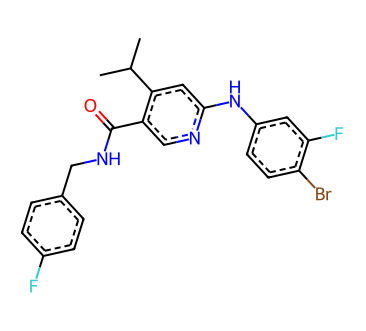 CC(C)c1cc(Nc2ccc(Br)c(F)c2)ncc1C(=O)NCc1ccc(F)cc1